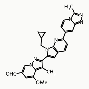 COc1cc(C=O)cn2nc(-c3cc4ccc(-c5ccn6c(C)nnc6c5)nc4n3CC3CC3)c(C)c12